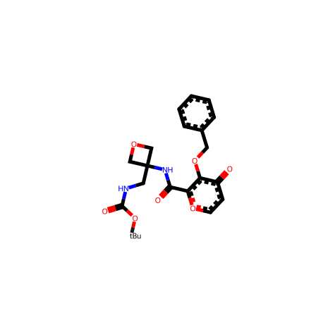 CC(C)(C)OC(=O)NCC1(NC(=O)c2occc(=O)c2OCc2ccccc2)COC1